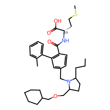 CCCC1CCC(COCC2CCCCC2)N1Cc1ccc(C(=O)N[C@@H](CCSC)C(=O)O)c(-c2ccccc2C)c1